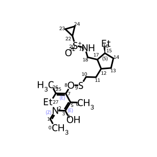 C\C=N/C(O)=C(C)\C(OSCCC1CC[C@H](CC)C1CN[S+]([O-])C1CC1)=C(\C)CC